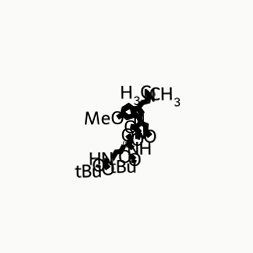 COc1ccc2c(CCN(C)C)cn(C3CC(=O)N(OC(=O)[C@H](CCCCNC(=O)OC(C)(C)C)NC(=O)OC(C)(C)C)C3=O)c2c1